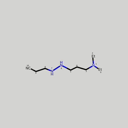 CCN(CC)CCCNNCCC#N